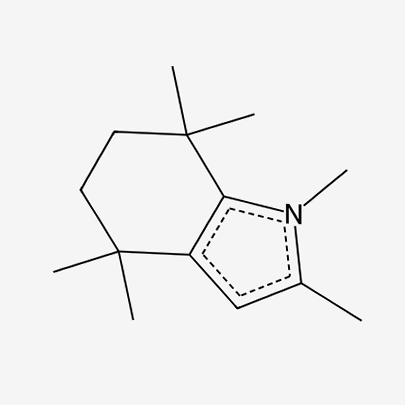 Cc1cc2c(n1C)C(C)(C)CCC2(C)C